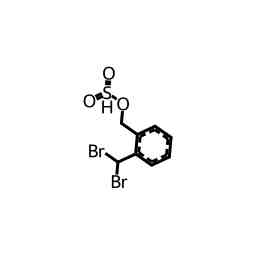 O=[SH](=O)OCc1ccccc1C(Br)Br